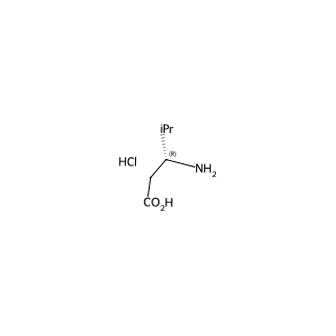 CC(C)[C@H](N)CC(=O)O.Cl